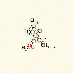 CCc1ccc2c(c1)C(C)(C)c1c3c(c4ccccc4c1-2)OC(c1ccc(OC)cc1)(c1ccc(C(=O)OC)cc1)C=C3